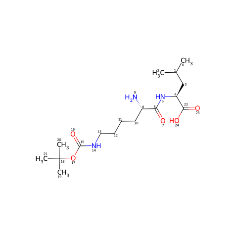 CC(C)C[C@H](NC(=O)[C@@H](N)CCCCNC(=O)OC(C)(C)C)C(=O)O